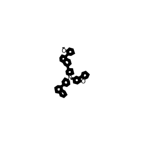 COc1ccccc1-c1cccc2cc(-c3ccc(N(c4ccc(-c5cccc6ccccc56)cc4)c4ccc5oc6ccccc6c5c4)cc3)ccc12